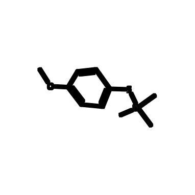 COc1ccc(S[Si](C)(C)C)cc1